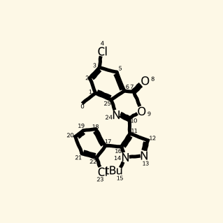 Cc1cc(Cl)cc2c(=O)oc(-c3cnn(C(C)(C)C)c3-c3ccccc3Cl)nc12